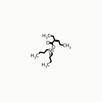 CCC=C(CC)C(=O)[O][SnH]([CH2]CCC)[CH2]CCC